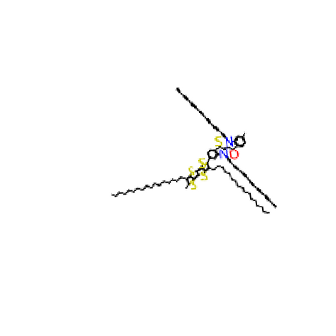 C#CC#CC#CC#CC#CC#CC#CN1/C(=C2\C(=S)c3ccc(-c4sc5c(sc6c7sc(C)c(CCCCCCCCCCCCCCCCC)c7sc56)c4CCCCCCCCCCCCCCCCC)cc3N2C#CC#CC#CC#CC#CC#CC#C)C(=O)c2ccc(C)cc21